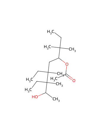 CCC(C)(C)C(CC(C)(CC)C(C)(CC)C(C)O)OC(C)=O